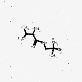 CC(C)[C@@H](N)C(=O)NCC(C)(C)S